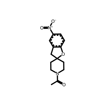 CC(=O)N1CCC2(CC1)Cc1cc([N+](=O)[O-])ccc1O2